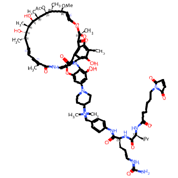 CO[C@H]1/C=C/O[C@@]2(C)Oc3c(C)c(O)c4c(=O)c(c5oc6cc(N7CCC([N+](C)(C)Cc8ccc(NC(=O)[C@H](CCCNC(N)=O)NC(=O)[C@@H](NC(=O)CCCCCN9C(=O)C=CC9=O)C(C)C)cc8)CC7)cc(O)c6nc-5c4c3C2=O)NC(=O)/C(C)=C\C=C\[C@H](C)[C@H](O)[C@@H](C)[C@@H](O)[C@@H](C)[C@H](OC(C)=O)[C@@H]1C